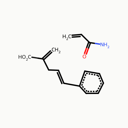 C=C(CC=Cc1ccccc1)C(=O)O.C=CC(N)=O